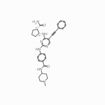 CN1CCC(NC(=O)c2ccc(Nc3ncc(C#Cc4ccccc4)c(N[C@@H]4CCC[C@@H]4C(N)=O)n3)cc2)CC1